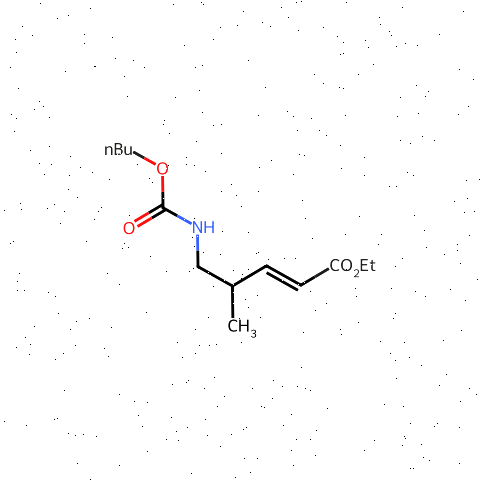 CCCCOC(=O)NCC(C)C=CC(=O)OCC